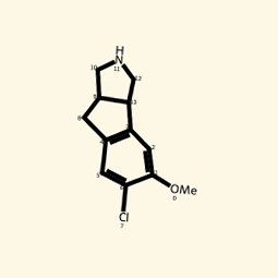 COc1cc2c(cc1Cl)CC1CNCC21